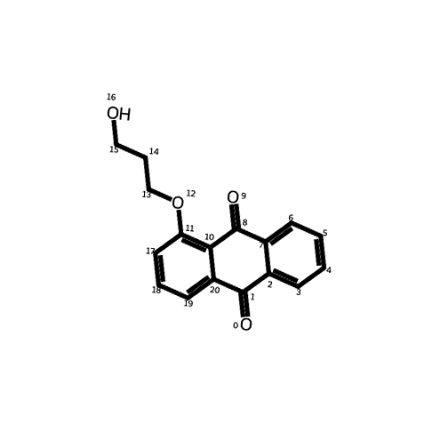 O=C1c2ccccc2C(=O)c2c(OCCCO)cccc21